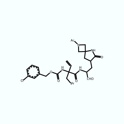 C=CC(CC(C)C)(NC(=O)OCc1cccc(Cl)c1)C(=O)NC(C=O)CC1CC2(CN(C(C)=O)C2)NC1=O